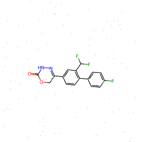 O=C1NN=C(c2ccc(-c3ccc(F)cc3)c(C(F)F)c2)CO1